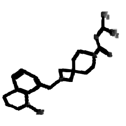 CC(=O)N1CCCc2cccc(CN3CC4(CCN(C(=O)OC(C(F)(F)F)C(F)(F)F)CC4)C3)c21